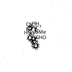 COCC(C)Nc1cc(NC(=O)N2CCCc3cc(CN4C=CC=COC4=C=O)c(C=O)nc32)ncc1C#N